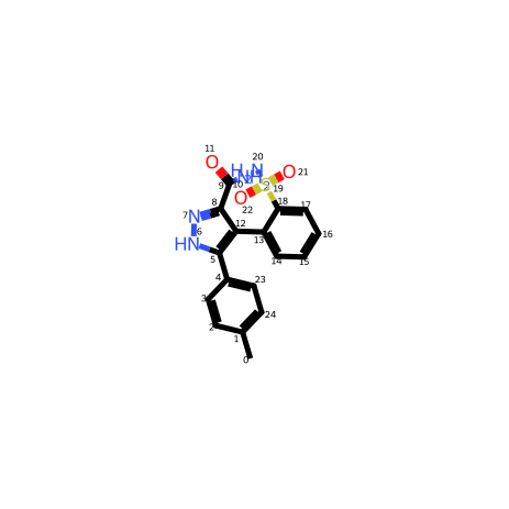 Cc1ccc(-c2[nH]nc(C(N)=O)c2-c2ccccc2S(N)(=O)=O)cc1